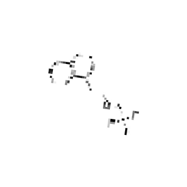 FC(F)(F)SOCCc1cccc2ccccc12